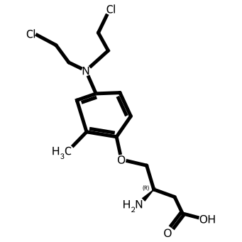 Cc1cc(N(CCCl)CCCl)ccc1OC[C@H](N)CC(=O)O